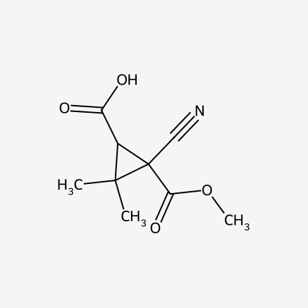 COC(=O)C1(C#N)C(C(=O)O)C1(C)C